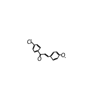 COc1ccc(C=CC(=O)c2ccc(Cl)cc2)cc1